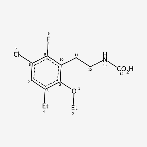 CCOc1c(CC)cc(Cl)c(F)c1CCNC(=O)O